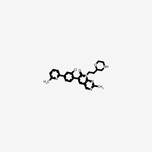 Cc1cccc(-c2ccc(-c3cc4cnc(C)nc4n(CCC4CNCCO4)c3=O)c(Cl)c2)n1